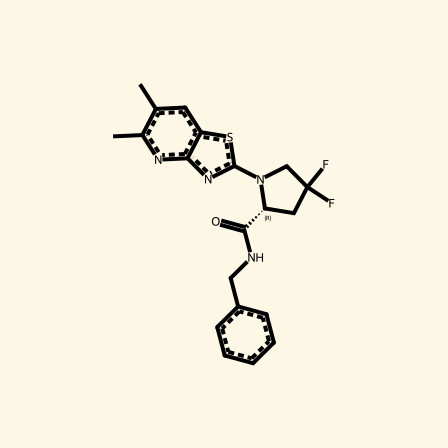 Cc1cc2sc(N3CC(F)(F)C[C@@H]3C(=O)NCc3ccccc3)nc2nc1C